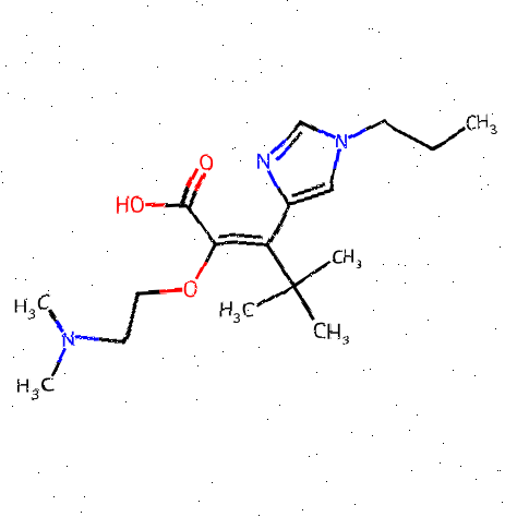 CCCn1cnc(/C(=C(/OCCN(C)C)C(=O)O)C(C)(C)C)c1